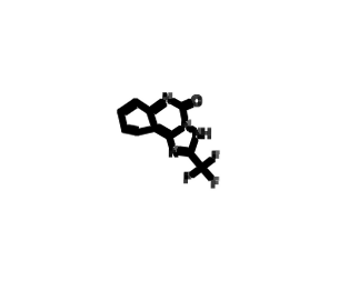 O=c1nc2ccccc2c2nc(C(F)(F)F)[nH]n12